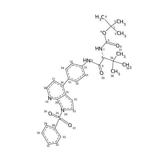 CC(C)(C)OC(=O)N[C@@H](C(=O)Nc1ccc(-c2ccnc3c2ccn3S(=O)(=O)c2ccccc2)cc1)C(C)(C)C